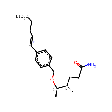 CCOC(=O)CC/C=C/c1ccc(CO[C@H](C)[C@@H](C)CCC(N)=O)cc1